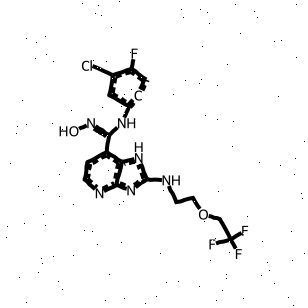 O/N=C(/Nc1ccc(F)c(Cl)c1)c1ccnc2nc(NCCOCC(F)(F)F)[nH]c12